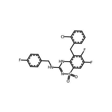 O=S1(=O)N=C(NCc2ccc(F)cc2)Nc2c1cc(F)c(F)c2Cc1ccccc1Cl